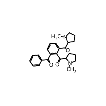 CN1CCCC1C(=O)c1cccc(C(=O)c2ccccc2)c1C(=O)C1CCCN1C